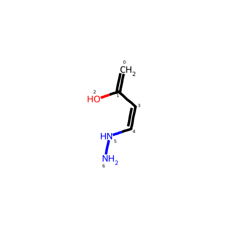 C=C(O)/C=C\NN